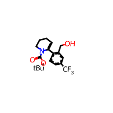 CC(C)(C)OC(=O)N1CCCC=C1c1ccc(C(F)(F)F)cc1CO